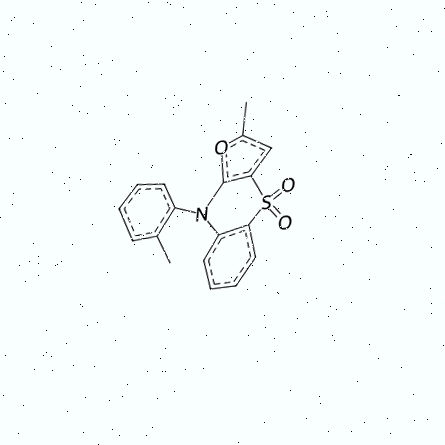 Cc1cc2c(o1)N(c1ccccc1C)c1ccccc1S2(=O)=O